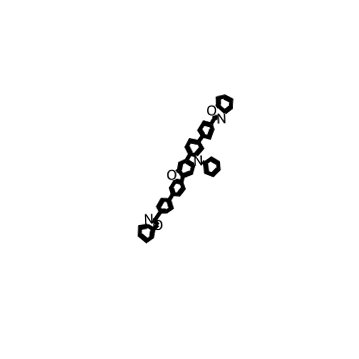 c1ccc(-n2c3cc(-c4ccc(-c5nc6ccccc6o5)cc4)ccc3c3cc4oc5cc(-c6ccc(-c7nc8ccccc8o7)cc6)ccc5c4cc32)cc1